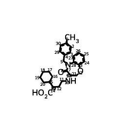 Cc1ccc(CN2C(=O)[C@@H](NCC[C@H](C(=O)O)C3CCCCC3)COc3ccccc32)cc1